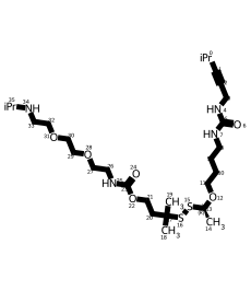 CC(C)C#CCNC(=O)NCCCCO[C@@H](C)SSC(C)(C)CCOC(=O)NCCOCCOCCNC(C)C